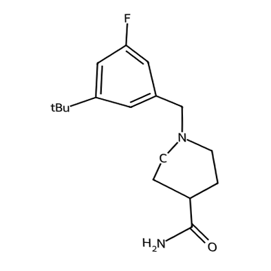 CC(C)(C)c1cc(F)cc(CN2CCC(C(N)=O)CC2)c1